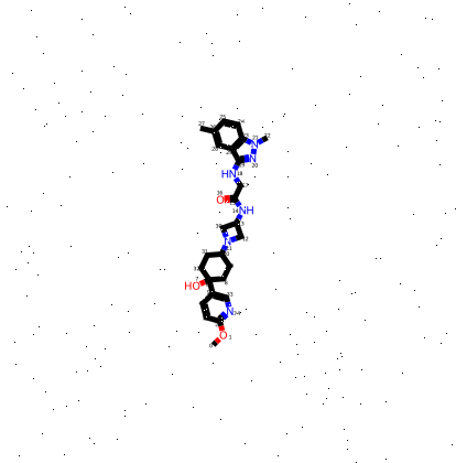 COc1ccc(C2(O)CCC(N3CC(NC(=O)CNc4nn(C)c5ccc(C)cc45)C3)CC2)cn1